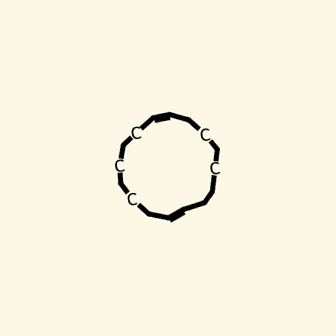 C1=C\CCCCCC/C=C\CCCCCC/1